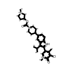 Cc1c(-c2[nH]c3ccc(C4CCN(C(=O)OC5CCN(C)C5)CC4)cc3c2C(C)C)cn(C)c(=O)c1Cl